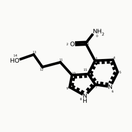 NC(=O)c1ccnc2[nH]cc(C[CH]CO)c12